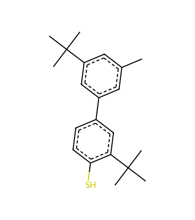 Cc1cc(-c2ccc(S)c(C(C)(C)C)c2)cc(C(C)(C)C)c1